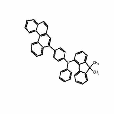 CC1(C)c2ccccc2-c2c(N(c3ccccc3)c3ccc(-c4cc5ccc6ccccc6c5c5ccccc45)cc3)cccc21